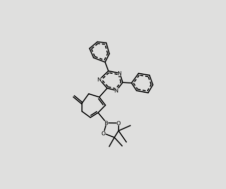 C=C1CC=C(B2OC(C)(C)C(C)(C)O2)C=C(c2nc(-c3ccccc3)nc(-c3ccccc3)n2)C1